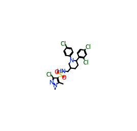 Cc1c(S(=O)(=O)NCC2CCC(c3ccc(Cl)cc3Cl)N(c3ccc(Cl)cc3)C2)c(Cl)nn1C